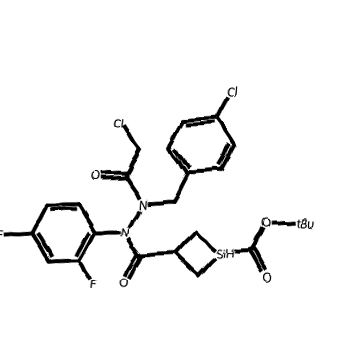 CC(C)(C)OC(=O)[SiH]1CC(C(=O)N(c2ccc(F)cc2F)N(Cc2ccc(Cl)cc2)C(=O)CCl)C1